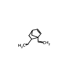 C=CC1CC2C=CC1(C=C)C2